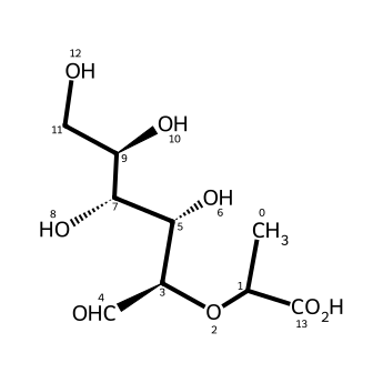 CC(O[C@@H](C=O)[C@@H](O)[C@H](O)[C@H](O)CO)C(=O)O